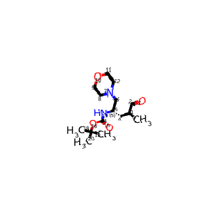 CC(C=O)C[C@@H](CN1CCOCC1)NC(=O)OC(C)(C)C